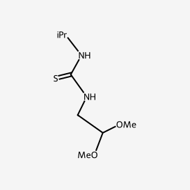 COC(CNC(=S)NC(C)C)OC